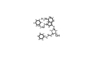 Nc1ncnc2c(CN3CC(O)[C@@H](CSCc4ccccc4)C3)cn(COCc3ccccc3)c12